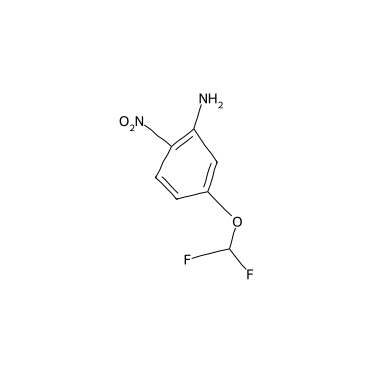 Nc1cc(OC(F)F)ccc1[N+](=O)[O-]